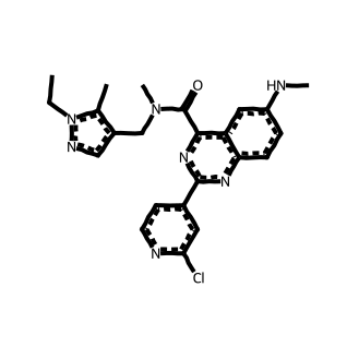 CCn1ncc(CN(C)C(=O)c2nc(-c3ccnc(Cl)c3)nc3ccc(NC)cc23)c1C